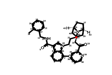 COc1cccc2c(C(=O)NCc3ccccc3C)cn(CCCN3[C@@H]4CC[C@H]3C[C@@H](CC(=O)c3ccccn3)C4)c12